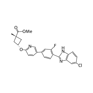 COC(=O)[C@]1(C)C[C@H](Oc2ccc(-c3ccc(-c4nc5cc(Cl)ccc5[nH]4)c(F)c3)cn2)C1